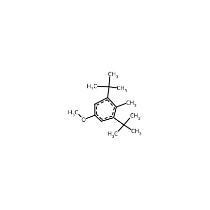 COc1cc(C(C)(C)C)c(C)c(C(C)(C)C)c1